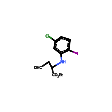 CCOC(=O)C(CC=O)Nc1cc(Cl)ccc1I